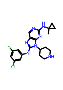 CC1(Nc2ncc3nc(Nc4cc(F)cc(Cl)c4)n(C4CCNCC4)c3n2)CC1